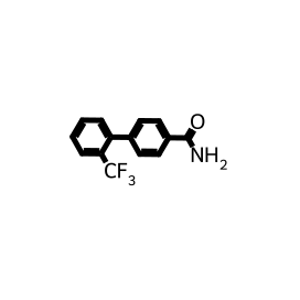 NC(=O)c1ccc(-c2ccccc2C(F)(F)F)cc1